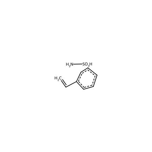 C=Cc1ccccc1.NS(=O)(=O)O